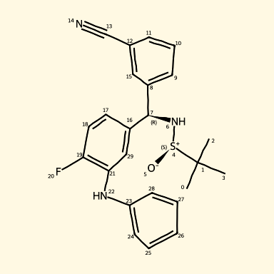 CC(C)(C)[S@@+]([O-])N[C@H](c1cccc(C#N)c1)c1ccc(F)c(Nc2ccccc2)c1